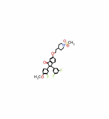 COc1ccc(C2=C(c3cc(F)cc(F)c3)c3ccc(OCCC4CCN(S(C)(=O)=O)CC4)cc3C2=O)cc1F